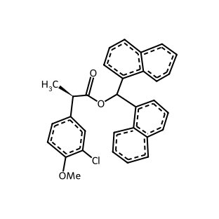 COc1ccc([C@@H](C)C(=O)OC(c2cccc3ccccc23)c2cccc3ccccc23)cc1Cl